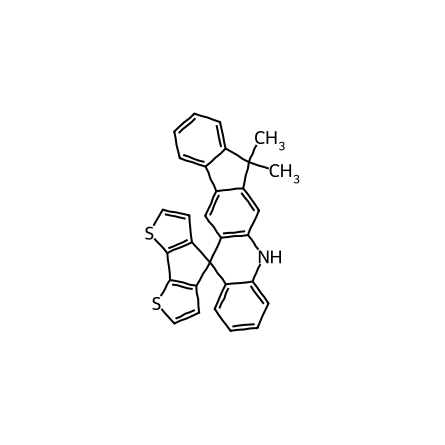 CC1(C)c2ccccc2-c2cc3c(cc21)Nc1ccccc1C31c2ccsc2-c2sccc21